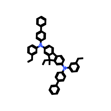 CCc1cccc(N(c2ccc(-c3ccccc3)cc2)c2ccc3c(c2)C(C)(CC)c2cc(N(c4ccc(-c5ccccc5)cc4)c4cccc(CC)c4)ccc2-3)c1